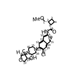 COC[C@@H]1CC[C@@H]1C(=O)Nc1cc2cc(N3CCN([C@]4(C)COC[C@@H]4O)CC3)c(Cl)cc2cn1